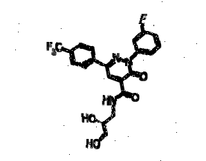 O=C(NC[C@@H](O)CO)c1cc(-c2ccc(C(F)(F)F)cc2)nn(-c2cccc(F)c2)c1=O